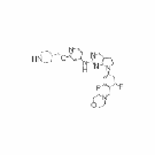 Fc1cc(N2CCc3cnc(Nc4ccnc(OCC5CCNCC5)c4)nc32)cc(F)c1CN1CCOCC1